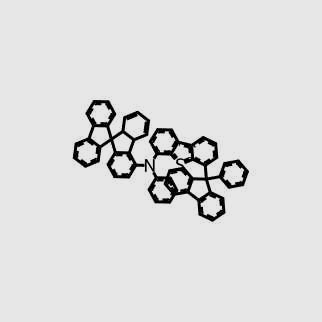 C1=CC2c3c(N(c4ccccc4)c4cccc5c4sc4c(C6(c7ccccc7)c7ccccc7-c7ccccc76)cccc45)cccc3C3(c4ccccc4-c4ccccc43)C2C=C1